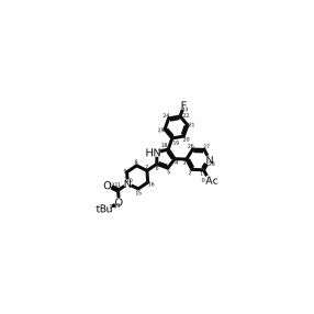 CC(=O)c1cc(-c2cc(C3CCN(C(=O)OC(C)(C)C)CC3)[nH]c2-c2ccc(F)cc2)ccn1